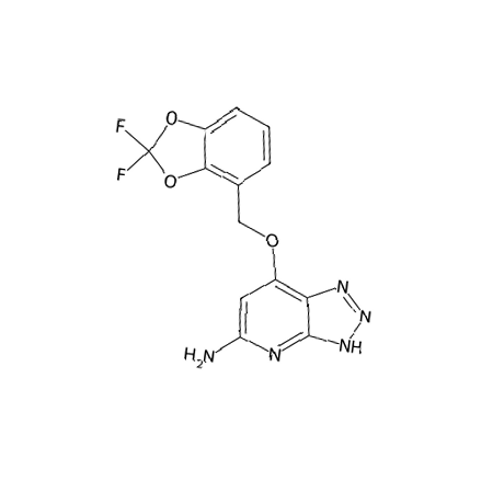 Nc1cc(OCc2cccc3c2OC(F)(F)O3)c2nn[nH]c2n1